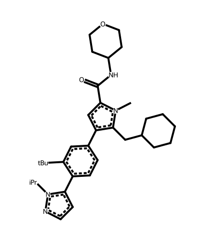 CC(C)n1nccc1-c1ccc(-c2cc(C(=O)NC3CCOCC3)n(C)c2CC2CCCCC2)cc1C(C)(C)C